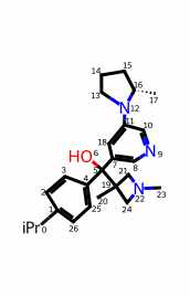 CC(C)c1ccc(C(O)(c2cncc(N3CCC[C@@H]3C)c2)C2(C)CN(C)C2)cc1